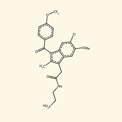 COc1cc2c(CC(=O)NCCC(=O)O)c(C)n(C(=O)c3ccc(OC(F)(F)F)cc3)c2cc1Cl